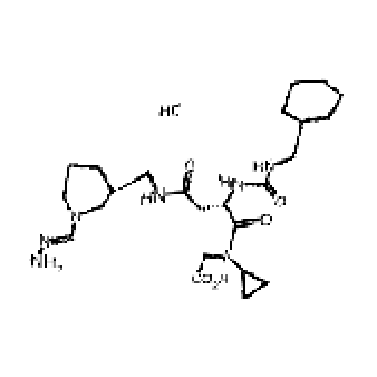 Cl.NN=CN1CCC[C@@H](CNC(=O)C[C@H](NC(=O)NCC2CCCCC2)C(=O)N(CC(=O)O)C2CC2)C1